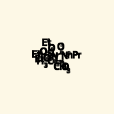 CCCN1C(=O)N([Si](OCC)(OCC)OCC)C(C)(C)C1=O